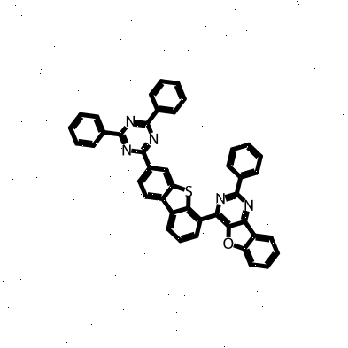 c1ccc(-c2nc(-c3ccccc3)nc(-c3ccc4c(c3)sc3c(-c5nc(-c6ccccc6)nc6c5oc5ccccc56)cccc34)n2)cc1